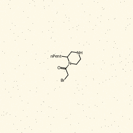 CCCCCC1CNCCN1C(=O)CBr